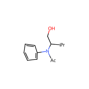 CC(=O)N(c1ccccc1)C(CO)C(C)C